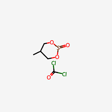 CC1COS(=O)OC1.O=C(Cl)Cl